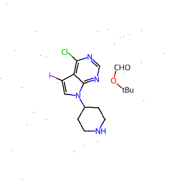 CC(C)(C)OC=O.Clc1ncnc2c1c(I)cn2C1CCNCC1